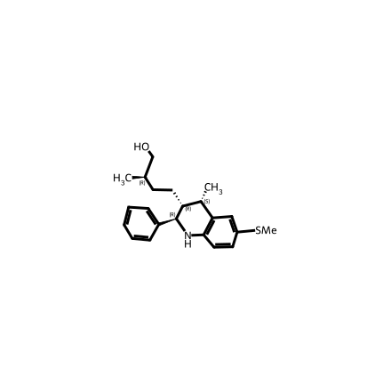 CSc1ccc2c(c1)[C@@H](C)[C@@H](CC[C@@H](C)CO)[C@H](c1ccccc1)N2